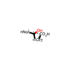 CC(=O)O.CCCCCCCCCC(O)CCCCCCCC